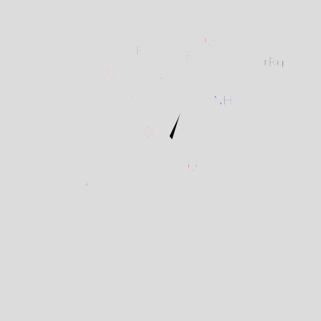 CC(C)(C)[S@@+]([O-])N[C@@H](COCc1ccccc1)C(F)(F)S(=O)(=O)c1ccccc1